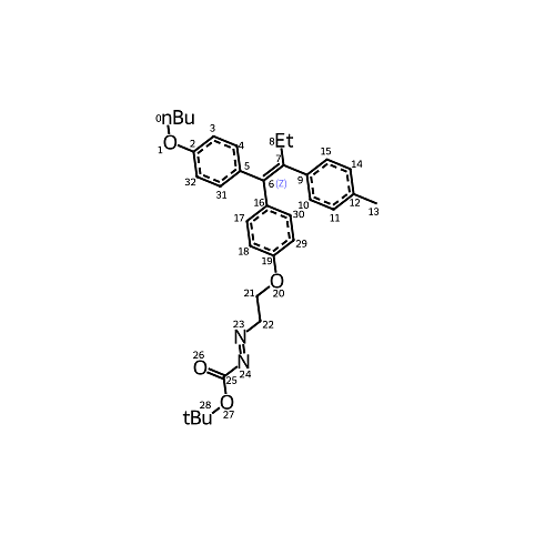 CCCCOc1ccc(/C(=C(\CC)c2ccc(C)cc2)c2ccc(OCCN=NC(=O)OC(C)(C)C)cc2)cc1